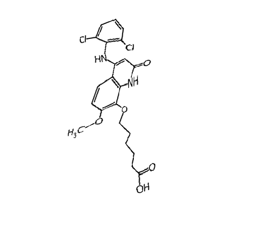 COc1ccc2c(Nc3c(Cl)cccc3Cl)cc(=O)[nH]c2c1OCCCCCC(=O)O